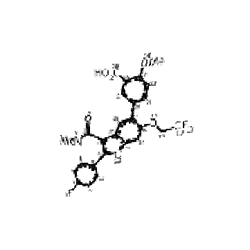 CNC(=O)c1c(-c2ccc(F)cc2)oc2cc(OCC(F)(F)F)c(-c3ccc(OC)c(C(=O)O)c3)cc12